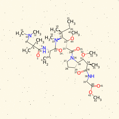 C=C[C@H](NC(=O)C(C)(C)CN(C)C)C(=O)N(C)[C@@H]([C@@H](C)CC)[C@@H](CC(=O)N1CCC[C@H]1[C@H](OC)[C@@H](C)C(=O)NCC(=O)OC)OC